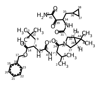 CC(C)[C@H](NC(=O)N[C@@H](CC(C)(C)C)C(=O)OCc1ccccc1)C(=O)N1C[C@H]2[C@@H]([C@H]1C(=O)NC(CC1CC1)C(=O)C(N)=O)C2(C)C